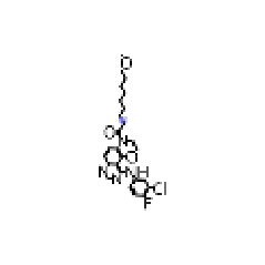 COCCCCCC/C=C/C(=O)N1CCOc2c1ccc1ncnc(Nc3ccc(F)c(Cl)c3)c21